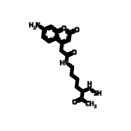 CC(=O)C(CCCCNC(=O)Cc1cc(=O)oc2cc(N)ccc12)NS